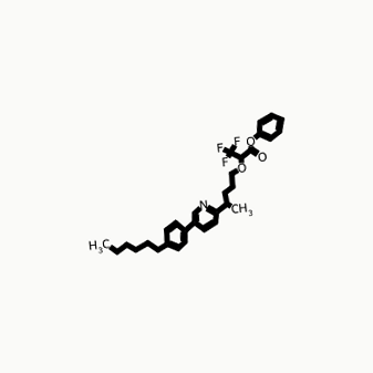 CCCCCCc1ccc(-c2ccc(C(C)CCCOC(C(=O)Oc3ccccc3)C(F)(F)F)nc2)cc1